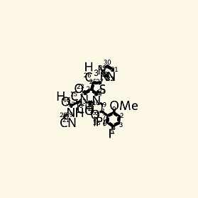 COc1ccc(F)cc1[C@H](Cn1c(=O)n(C(C)(C)C(=O)NCC#N)c(=O)c2c(C)c(-n3nccn3)sc21)OC(C)C